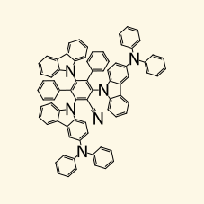 N#Cc1c(-n2c3ccccc3c3cc(N(c4ccccc4)c4ccccc4)ccc32)c(-c2ccccc2)c(-n2c3ccccc3c3ccccc32)c(-c2ccccc2)c1-n1c2ccccc2c2cc(N(c3ccccc3)c3ccccc3)ccc21